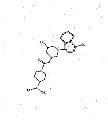 CC1C[C@@H](c2ccc(C#N)c3ncccc23)CN(CC(=O)N2CCC(N(C)C)CC2)C1